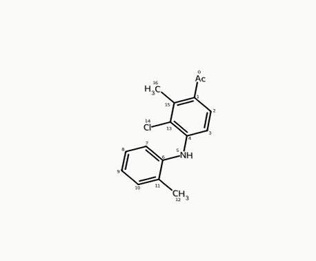 CC(=O)c1ccc(Nc2ccccc2C)c(Cl)c1C